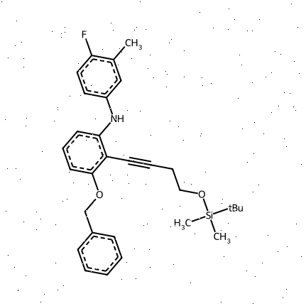 Cc1cc(Nc2cccc(OCc3ccccc3)c2C#CCCO[Si](C)(C)C(C)(C)C)ccc1F